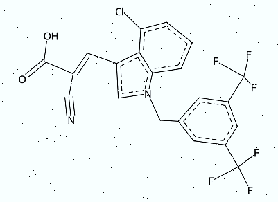 N#C/C(=C\c1cn(Cc2cc(C(F)(F)F)cc(C(F)(F)F)c2)c2cccc(Cl)c12)C(=O)O